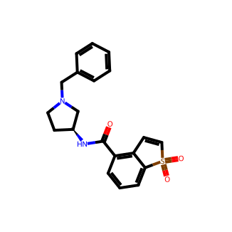 O=C(N[C@H]1CCN(Cc2ccccc2)C1)c1cccc2c1C=CS2(=O)=O